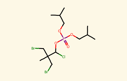 CC(C)COP(=O)(OCC(C)C)OC(Cl)C(C)(CBr)CBr